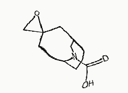 O=C(O)N1C2CCC1CC1(CO1)C2